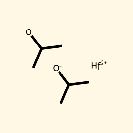 CC(C)[O-].CC(C)[O-].[Hf+2]